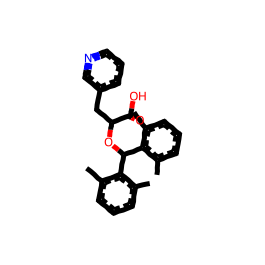 Cc1cccc(C)c1C(OC(Cc1cccnc1)C(=O)O)c1c(C)cccc1C